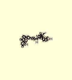 C=CCn1c(=O)c2cnc(NC3CC4(C3)CN(C3CCN(c5cccc6c5C(=O)N(C5CCC(=O)NC5=O)C6=O)CC3)C4)nc2n1-c1ccc2c(n1)[C@@](O)(CC)CC2